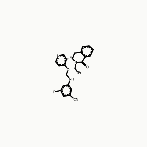 CC(C)CN1C(=O)c2ccccc2C[C@H]1c1cnccc1OCNc1cc(F)cc(C#N)c1